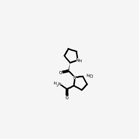 Cl.NC(=O)C1CCCN1C(=O)[C@@H]1CCCN1